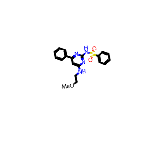 COCCNc1cc(-c2ccccc2)nc(NS(=O)(=O)c2ccccc2)n1